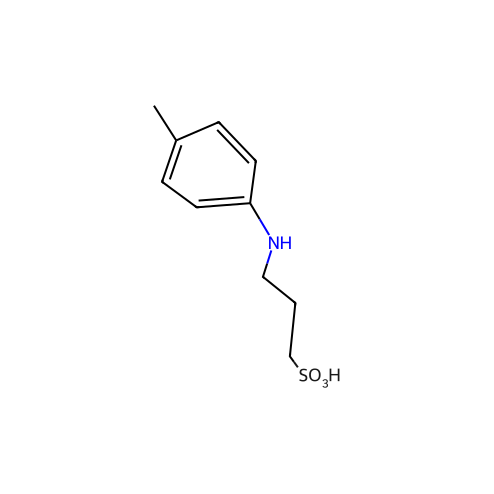 Cc1ccc(NCCCS(=O)(=O)O)cc1